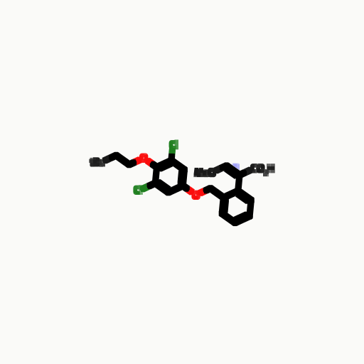 CO/C=C(/C(=O)O)c1ccccc1COc1cc(Cl)c(OCCC(C)(C)C)c(Cl)c1